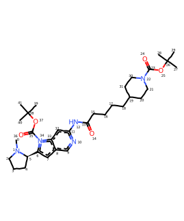 CN1CCC[C@@H]1c1cc2cnc(NC(=O)CCCCC3CCN(C(=O)OC(C)(C)C)CC3)cc2n1C(=O)OC(C)(C)C